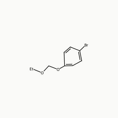 CCOCOc1ccc(Br)cc1